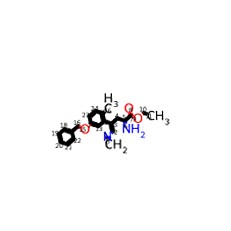 C=N/C=C(/CC(N)C(=O)OCC)c1cc(OCc2ccccc2)ccc1C